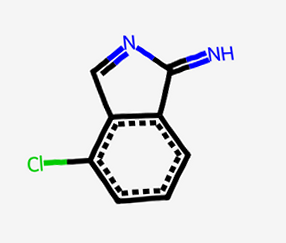 N=C1N=Cc2c(Cl)cccc21